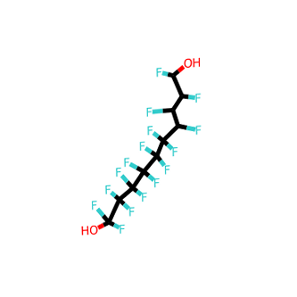 OC(F)C(F)C(F)C(F)C(F)(F)C(F)(F)C(F)(F)C(F)(F)C(F)(F)C(O)(F)F